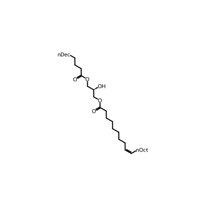 CCCCCCCC/C=C\CCCCCCCC(=O)OC[C@H](O)COC(=O)CCCCCCCCCCCCC